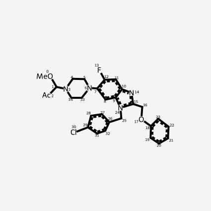 COC(C(C)=O)N1CCN(c2cc3c(cc2F)nc(COc2ccccc2)n3Cc2ccc(Cl)cc2)CC1